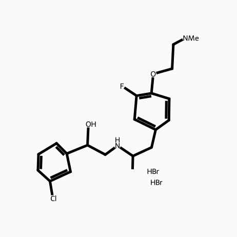 Br.Br.CNCCOc1ccc(CC(C)NCC(O)c2cccc(Cl)c2)cc1F